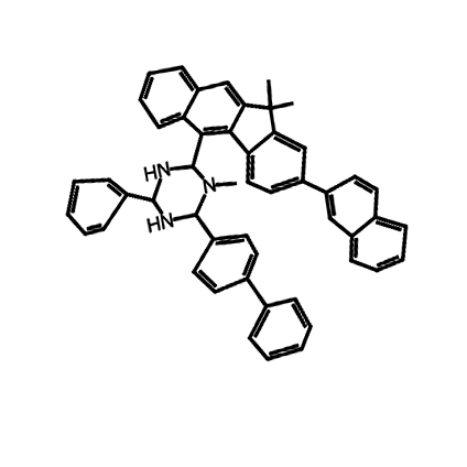 CN1C(c2ccc(-c3ccccc3)cc2)NC(c2ccccc2)NC1c1c2c(cc3ccccc13)C(C)(C)c1cc(-c3ccc4ccccc4c3)ccc1-2